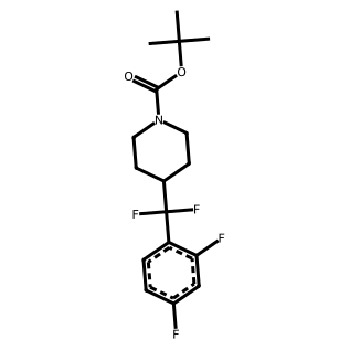 CC(C)(C)OC(=O)N1CCC(C(F)(F)c2ccc(F)cc2F)CC1